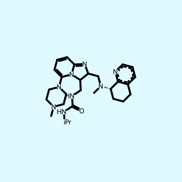 CC(C)NC(=O)NCC1C(CN(C)[C@H]2CCCc3cccnc32)N=C2C=CC=C(N3CCN(C)CC3)N21